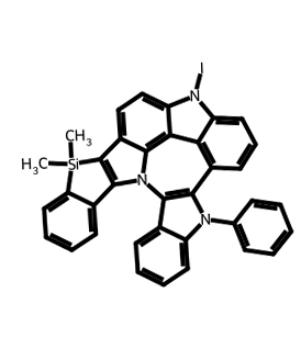 C[Si]1(C)c2ccccc2-c2c1c1ccc3c4c5c(cccc5n3I)c3c(c5ccccc5n3-c3ccccc3)n2c14